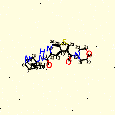 O=C(N[C@H]1CN2CCC1CC2)c1cc2c(C(=O)N3CCOCC3)csc2cn1